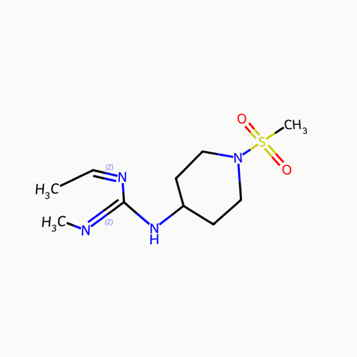 C/C=N\C(=N/C)NC1CCN(S(C)(=O)=O)CC1